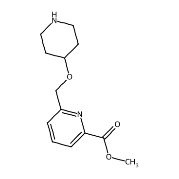 COC(=O)c1cccc(COC2CCNCC2)n1